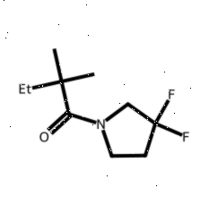 CCC(C)(C)C(=O)N1CCC(F)(F)C1